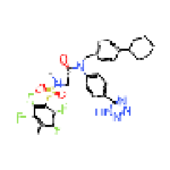 Cc1c(F)c(F)c(S(=O)(=O)N(C)CC(=O)N(Cc2ccc(C3CCCCC3)cc2)c2ccc(-c3nnn[nH]3)cc2)c(F)c1F